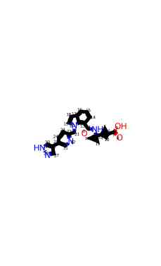 O=C(NC1(C23CC2(C(=O)O)C3)CC1)c1cccc2ccn(Cc3ccc(-c4cn[nH]c4)cn3)c12